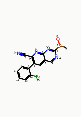 C[S+]([O-])c1ncc2cc(-c3ccccc3Br)c(C#N)nc2n1